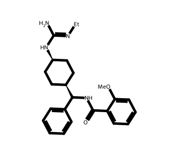 CCN=C(N)N[C@H]1CC[C@@H](C(NC(=O)c2ccccc2OC)c2ccccc2)CC1